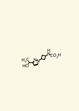 C[C@H](O)c1ccn(C2CC(NC(=O)O)C2)n1